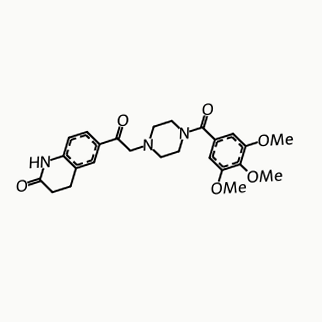 COc1cc(C(=O)N2CCN(CC(=O)c3ccc4c(c3)CCC(=O)N4)CC2)cc(OC)c1OC